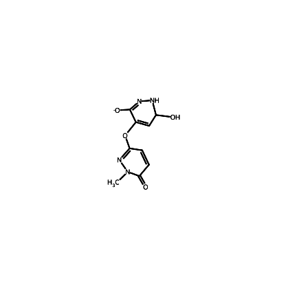 Cn1nc(OC2=CC(O)NN=C2[O])ccc1=O